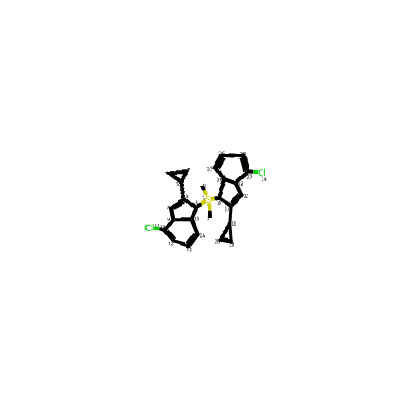 CS(C)(C1C(C2CC2)=CC2C(Cl)=CC=CC21)C1C(C2CC2)=CC2C(Cl)=CC=CC21